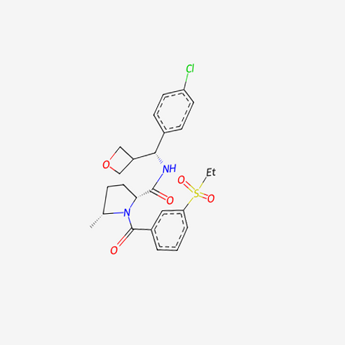 CCS(=O)(=O)c1cccc(C(=O)N2[C@H](C)CC[C@@H]2C(=O)N[C@@H](c2ccc(Cl)cc2)C2COC2)c1